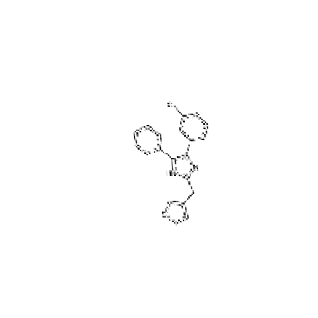 Clc1cccc(-c2nc(Cc3ccsc3)[nH]c2-c2ccccc2)c1